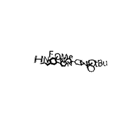 COc1c(-c2ccc3nc(C4CCN(C(=O)OC(C)(C)C)CC4)ccc3n2)cc2cc(C)[nH]c2c1F